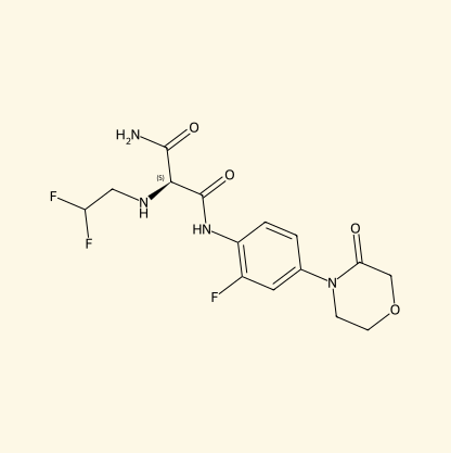 NC(=O)[C@H](NCC(F)F)C(=O)Nc1ccc(N2CCOCC2=O)cc1F